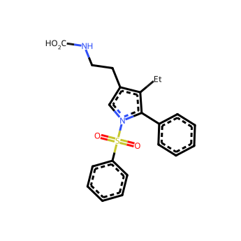 CCc1c(CCNC(=O)O)cn(S(=O)(=O)c2ccccc2)c1-c1ccccc1